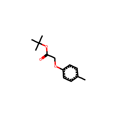 Cc1ccc(OCC(=O)OC(C)(C)C)cc1